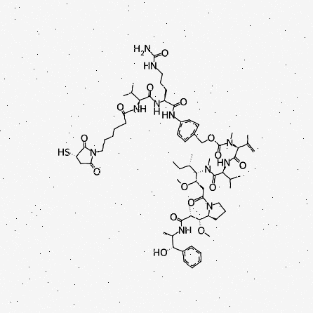 C=C(C)[C@@H](C(=O)N[C@H](C(=O)N(C)[C@@H]([C@@H](C)CC)[C@@H](CC(=O)N1CCC[C@H]1[C@H](OC)[C@@H](C)C(=O)N[C@H](C)[C@@H](O)c1ccccc1)OC)C(C)C)N(C)C(=O)OCc1ccc(NC(=O)[C@H](CCCNC(N)=O)NC(=O)[C@@H](NC(=O)CCCCCN2C(=O)C[C@H](S)C2=O)C(C)C)cc1